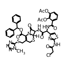 CC(=O)Oc1cccc(C(=O)NC(C(=O)N[C@@H]2C(=O)N3C(C(=O)OC(c4ccccc4)c4ccccc4)=C(CSc4nnnn4C)CS[C@@H]23)c2csc(NC(=O)CCl)n2)c1OC(C)=O